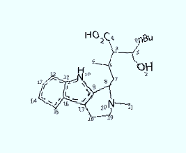 CCCCC(O)C(C(=O)O)C(C)CC1c2[nH]c3ccccc3c2CCN1C